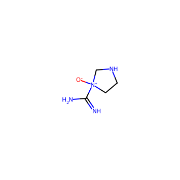 N=C(N)[N+]1([O-])CCNC1